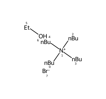 CCCC[N+](CCCC)(CCCC)CCCC.CCO.[Br-]